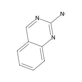 [N]c1ncc2ccccc2n1